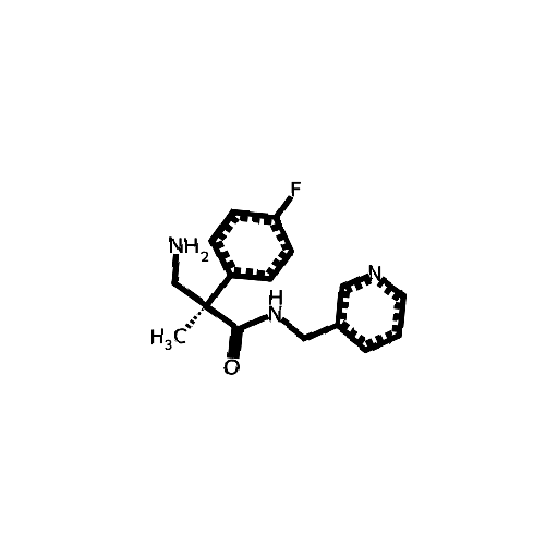 C[C@@](CN)(C(=O)NCc1cccnc1)c1ccc(F)cc1